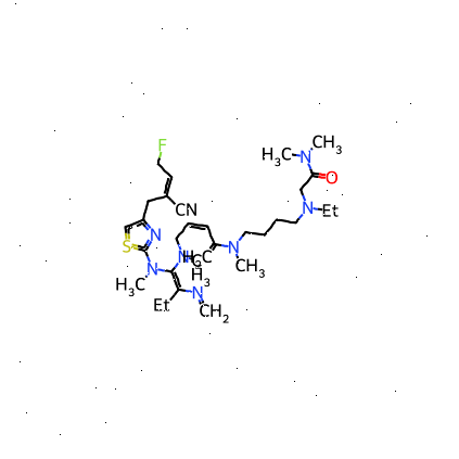 C=N/C(CC)=C(\N(C)C/C=C\C(=C)N(C)CCCCN(CC)CC(=O)N(C)C)N(C)c1nc(C/C(C#N)=C\CF)cs1